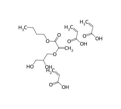 C=C(OCC(O)CO)C(=O)OCCCC.C=CC(=O)O.C=CC(=O)O.C=CC(=O)O